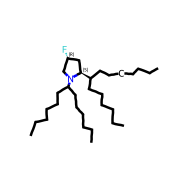 CCCCCCCC(CCCCCC)[C@@H]1C[C@@H](F)CN1C(CCCCCC)CCCCCC